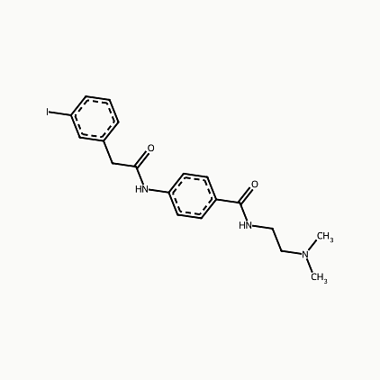 CN(C)CCNC(=O)c1ccc(NC(=O)Cc2cccc(I)c2)cc1